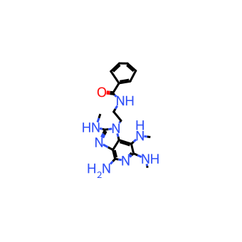 CNc1nc(N)c2nc(NC)n(CCNC(=O)c3ccccc3)c2c1NC